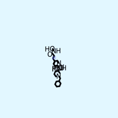 Cl.Cl.O=C(/C=C/c1cnc(N[C@@H]2CCCN(CC3CCCCC3)C2)c(F)c1)NO